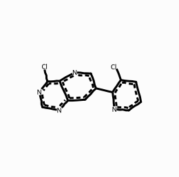 Clc1cccnc1-c1cnc2c(Cl)ncnc2c1